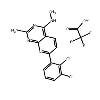 CNc1nc(N)nc2nc(-c3cccc(Cl)c3Cl)ccc12.O=C(O)C(F)(F)F